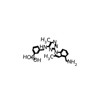 Cc1nnc(-n2c(C)cc3c(CN)cccc32)nc1NCc1cccc(B(O)O)c1